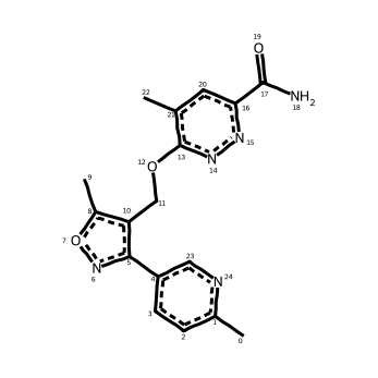 Cc1ccc(-c2noc(C)c2COc2nnc(C(N)=O)cc2C)cn1